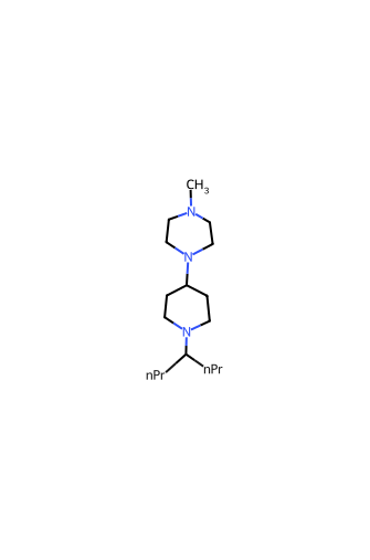 CCCC(CCC)N1CCC(N2CCN(C)CC2)CC1